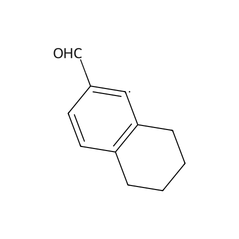 O=Cc1[c]c2c(cc1)CCCC2